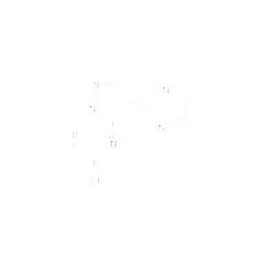 Cn1ccnc1-c1cnn2ccc(Cl)nc12